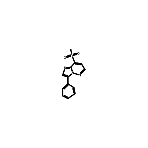 CS(=O)(=O)c1ccnn2c(-c3ccccc3)cnc12